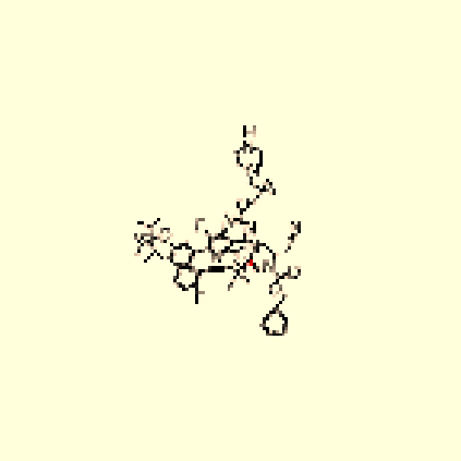 CC(C)[Si](C#Cc1c(F)ccc2cc(O[Si](C(C)C)(C(C)C)C(C)C)cc(-c3ncc4c(N5CCN(C(=O)OCc6ccccc6)[C@@H](CC#N)C5)nc(OCC5(CN6CCNCC6)CC5)nc4c3F)c12)(C(C)C)C(C)C